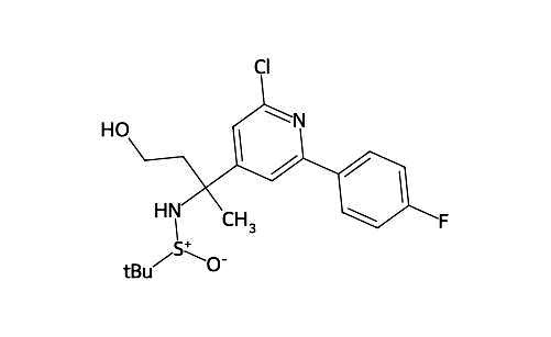 CC(CCO)(N[S+]([O-])C(C)(C)C)c1cc(Cl)nc(-c2ccc(F)cc2)c1